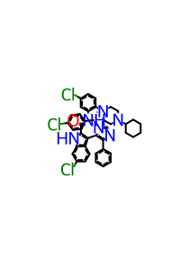 C[C@@H](c1ccc(Cl)cc1)n1cnc(-c2ccccc2)c1-c1c(C(=O)Nc2cc(Cl)ccc2N2CCN(C3CCCCC3)CC2)[nH]c2cc(Cl)ccc12